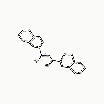 N=C(/C=C(\N)c1ccc2ccccc2c1)c1ccc2ccccc2c1